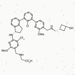 COc1nc(-c2cccc(-c3cccc4c3CC[C@@H]4Nc3nc(OC)c(CNCC(=O)O)cc3C(F)(F)F)c2Cl)ccc1CNC[C@H]1C[C@](C)(O)C1